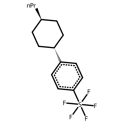 CCC[C@H]1CC[C@H](c2ccc(S(F)(F)(F)(F)F)cc2)CC1